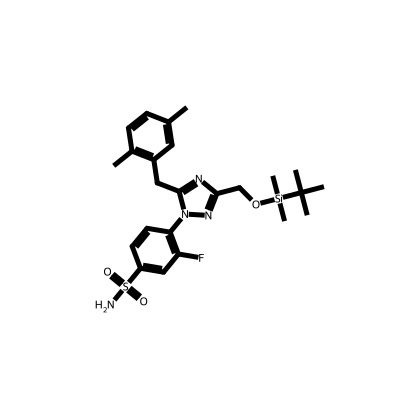 Cc1ccc(C)c(Cc2nc(CO[Si](C)(C)C(C)(C)C)nn2-c2ccc(S(N)(=O)=O)cc2F)c1